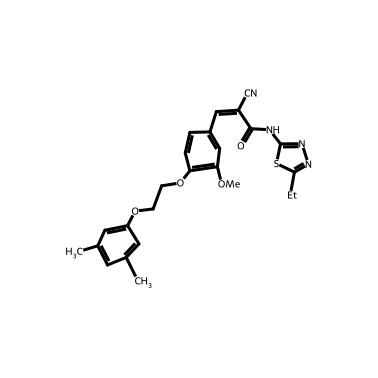 CCc1nnc(NC(=O)C(C#N)=Cc2ccc(OCCOc3cc(C)cc(C)c3)c(OC)c2)s1